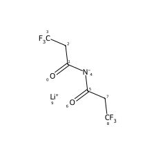 O=C(CC(F)(F)F)[N-]C(=O)CC(F)(F)F.[Li+]